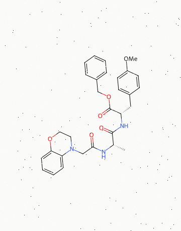 COc1ccc(C[C@H](NC(=O)[C@H](C)NC(=O)CN2CCOc3ccccc32)C(=O)OCc2ccccc2)cc1